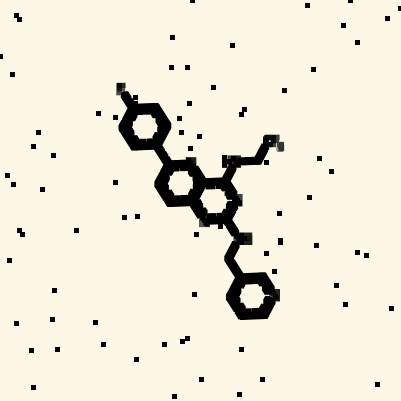 Fc1ccc(-c2ccc3nc(NCc4cccnc4)nc(NCC(F)(F)F)c3n2)cc1